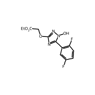 CCOC(=O)COc1nc(-c2cc(F)ccc2F)n(O)n1